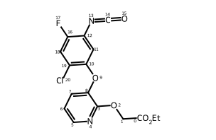 CCOC(=O)COc1ncccc1Oc1cc(N=C=O)c(F)cc1Cl